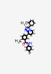 CC1=CC=CCC1c1nnc2c(-c3ccc(C)c(C(=O)Nc4ccc(F)cc4)c3)cccn12